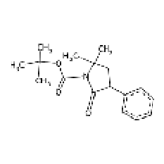 CC(C)(C)OC(=O)N1C(=O)C(c2ccccc2)CC1(C)C